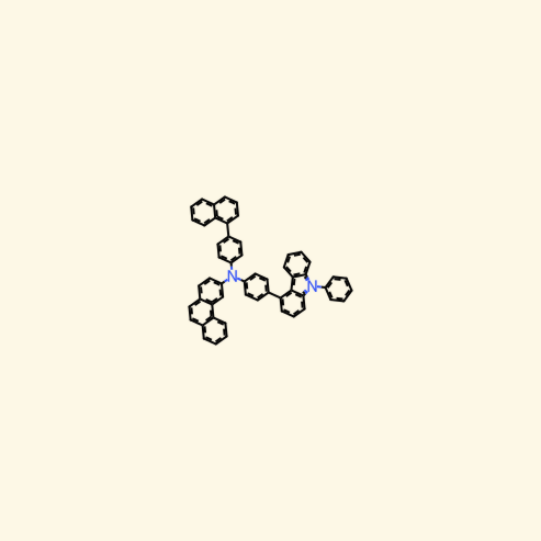 c1ccc(-n2c3ccccc3c3c(-c4ccc(N(c5ccc(-c6cccc7ccccc67)cc5)c5ccc6ccc7ccccc7c6c5)cc4)cccc32)cc1